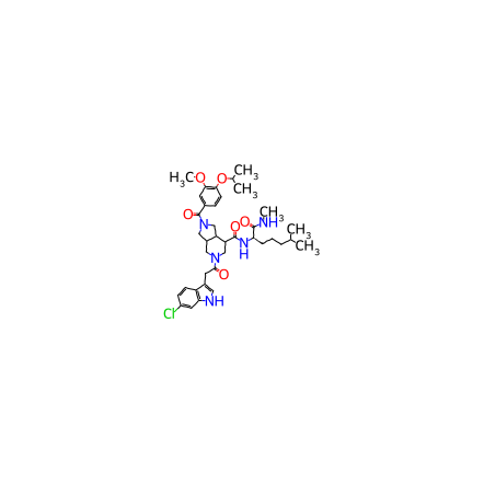 CNC(=O)[C@@H](CCCC(C)C)NC(=O)C1CN(C(=O)Cc2c[nH]c3cc(Cl)ccc23)CC2CN(C(=O)c3ccc(OC(C)C)c(OC)c3)CC21